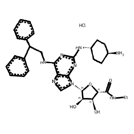 CCNC(=O)[C@H]1O[C@@H](n2cnc3c(NCC(c4ccccc4)c4ccccc4)nc(N[C@H]4CC[C@H](N)CC4)nc32)[C@H](O)[C@@H]1O.Cl